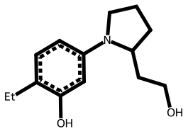 CCc1ccc(N2CCCC2CCO)cc1O